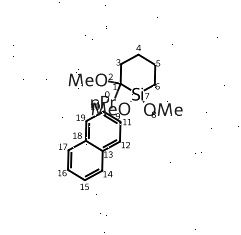 CCCC1(OC)CCCC[Si]1(OC)OC.c1ccc2ccccc2c1